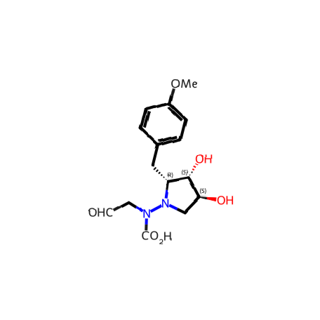 COc1ccc(C[C@@H]2[C@H](O)[C@@H](O)CN2N(CC=O)C(=O)O)cc1